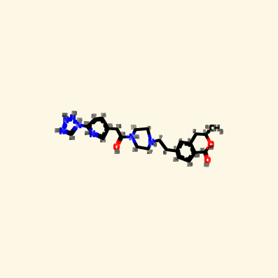 C[C@@H]1Cc2cc(CCN3CCN(C(=O)Cc4ccc(-n5cnnn5)nc4)CC3)ccc2C(=O)O1